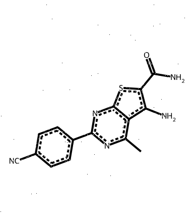 Cc1nc(-c2ccc(C#N)cc2)nc2sc(C(N)=O)c(N)c12